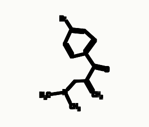 C=C(CN(C)C)C(=O)c1ccc(Br)cc1